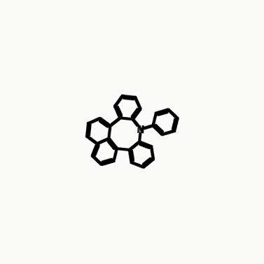 c1ccc(N2c3ccccc3-c3cccc4cccc(c34)-c3ccccc32)cc1